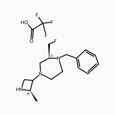 C[C@H]1NCC1N1CCN(Cc2ccccc2)[C@H](CF)C1.O=C(O)C(F)(F)F